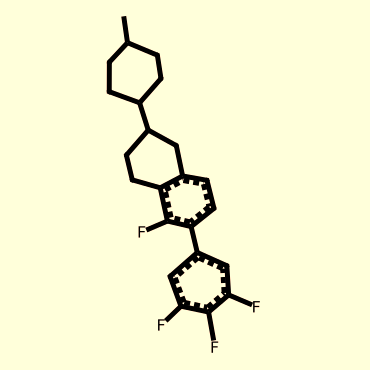 CC1CCC(C2CCc3c(ccc(-c4cc(F)c(F)c(F)c4)c3F)C2)CC1